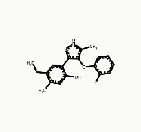 CCc1cc(-c2n[nH]c(C)c2Oc2ccccc2F)c(O)cc1C